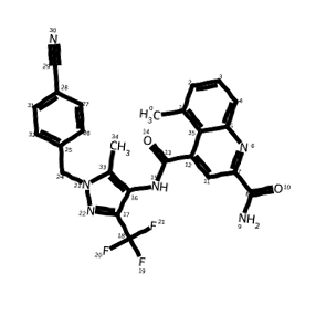 Cc1cccc2nc(C(N)=O)cc(C(=O)Nc3c(C(F)(F)F)nn(Cc4ccc(C#N)cc4)c3C)c12